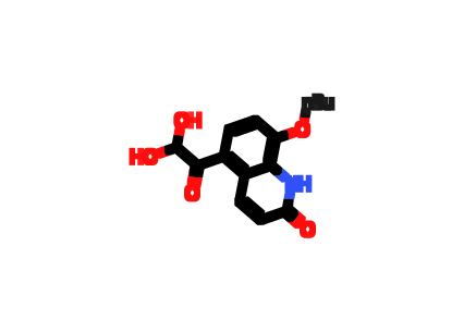 CCCCOc1ccc(C(=O)C(O)O)c2ccc(=O)[nH]c12